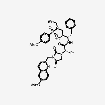 COc1ccc(S(=O)(=O)N(CC(C)C)C[C@H](O)[C@H](Cc2ccccc2)NC(=O)[C@H](C(C)C)N2CC(=O)N(Cc3ccc4cc(OC)ccc4n3)C2=O)cc1